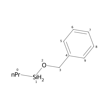 CCC[SiH2]OCc1ccccc1